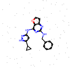 c1ccc(CNc2nc(Nc3cc(C4CC4)[nH]n3)c3occc3n2)cc1